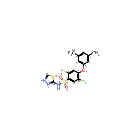 Cc1cc(Oc2cc(F)c(S(=O)(=O)Nc3nncs3)cc2F)cc(C(F)(F)F)c1